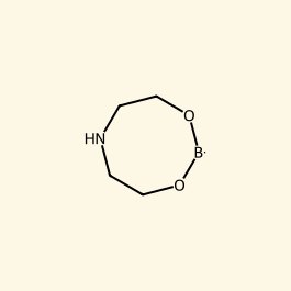 [B]1OCCNCCO1